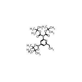 CCc1cc(B2OC(C)(C)C(C)(C)O2)cc(N(C(=O)OC(C)(C)C)C(=O)OC(C)(C)C)n1